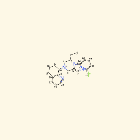 [CH2]CCCN(Cc1cn2c(F)cccc2n1)C1CCCc2cccnc21